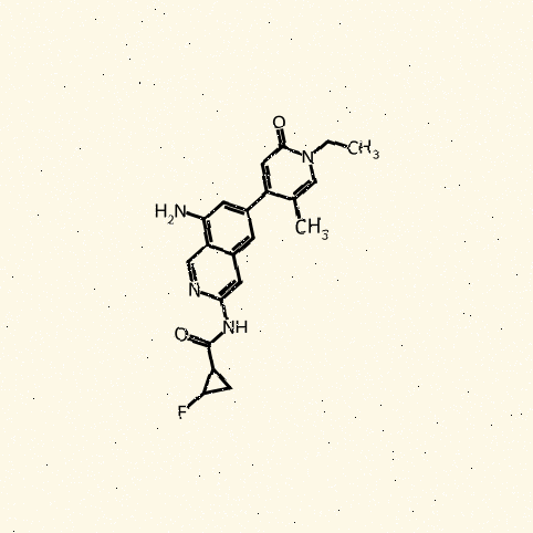 CCn1cc(C)c(-c2cc(N)c3cnc(NC(=O)C4CC4F)cc3c2)cc1=O